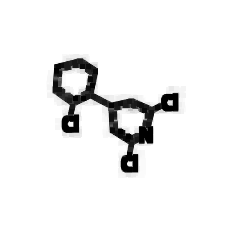 Clc1cc(-c2ccccc2Cl)cc(Cl)n1